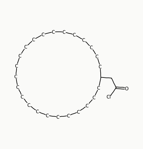 O=C(Cl)CC1CCCCCCCCCCCCCCCCCCCCCCCC1